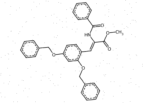 COC(=O)/C(=C/c1ccc(OCc2ccccc2)cc1OCc1ccccc1)NC(=O)c1ccccc1